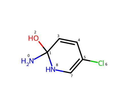 NC1(O)C=CC(Cl)=CN1